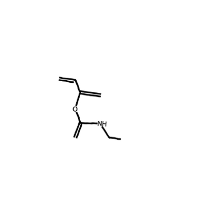 C=CC(=C)OC(=C)NCC